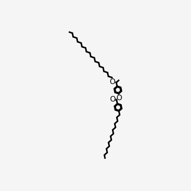 CCCCCCCCCCCCCCCCCCCCOC(C)c1ccc(OC(=O)c2ccc(CCCCCCCCCCCCCCC)cc2)cc1